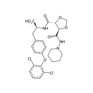 O=C(O)[C@H](Cc1ccc(Oc2c(Cl)cccc2Cl)cc1)NC(=O)[C@@H]1OCO[C@H]1C(=O)NN1CCCCC1